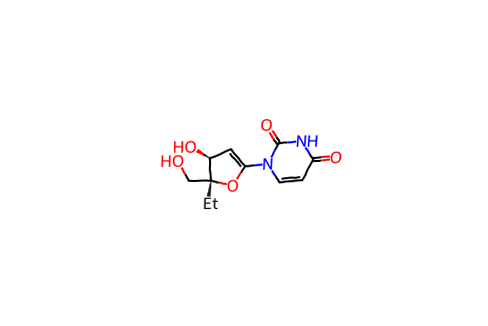 CC[C@]1(CO)OC(n2ccc(=O)[nH]c2=O)=C[C@@H]1O